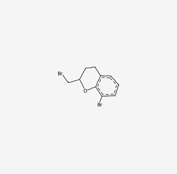 BrCC1CCc2cccc(Br)c2O1